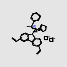 C=Cc1ccc2c(c1)-c1cc(C=C)ccc1[CH]2/[Zr+2]([C]1=CC=CC1)=[C](\C)c1ccccc1.[Cl-].[Cl-]